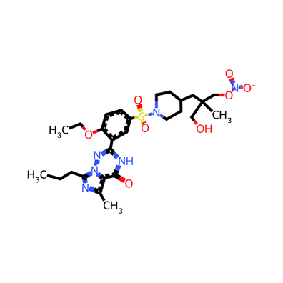 CCCc1nc(C)c2c(=O)[nH]c(-c3cc(S(=O)(=O)N4CCC(CC(C)(CO)CO[N+](=O)[O-])CC4)ccc3OCC)nn12